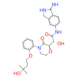 CC(C)(O)CCOc1ccccc1N1CCO[C@H]([C@@H](O)C(=O)Nc2ccc3c(c2)CNC3=N)C1=O